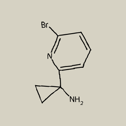 NC1(c2cccc(Br)n2)CC1